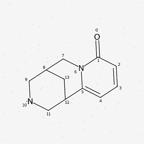 O=c1cccc2n1CC1C[N]CC2C1